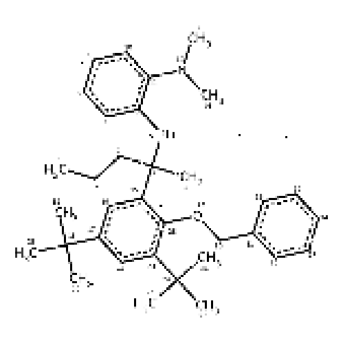 CCCC(C)(Pc1ccccc1N(C)C)c1cc(C(C)(C)C)cc(C(C)(C)C)c1OCc1ccccc1